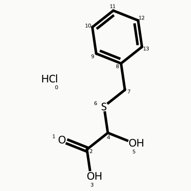 Cl.O=C(O)C(O)SCc1ccccc1